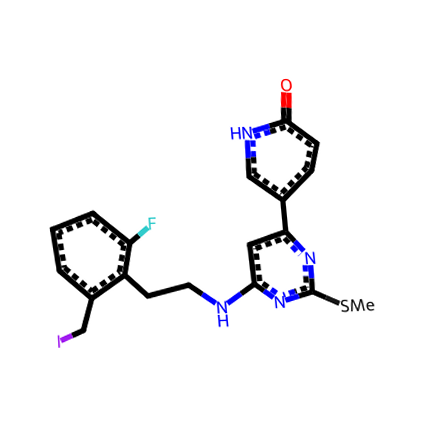 CSc1nc(NCCc2c(F)cccc2CI)cc(-c2ccc(=O)[nH]c2)n1